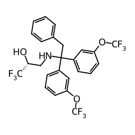 O[C@H](CNC(Cc1ccccc1)(c1cccc(OC(F)(F)F)c1)c1cccc(OC(F)(F)F)c1)C(F)(F)F